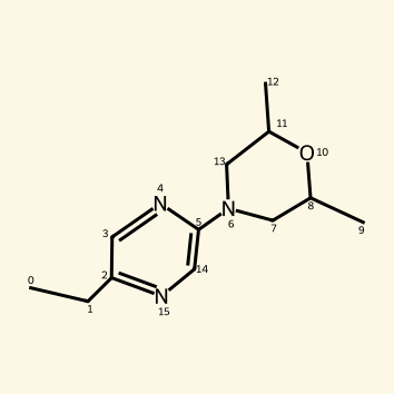 CCc1cnc(N2CC(C)OC(C)C2)cn1